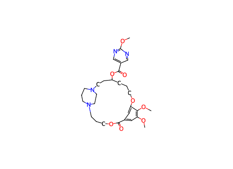 COc1ncc(C(=O)OC2CCCOc3cc(cc(OC)c3OC)C(=O)OCCCN3CCCN(CC2)CC3)cn1